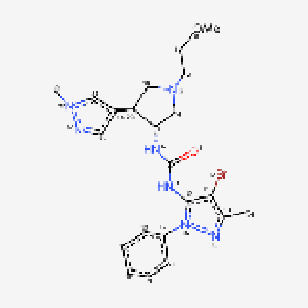 COCCN1C[C@H](NC(=O)Nc2c(Br)c(C)nn2-c2ccccc2)[C@@H](c2cnn(C)c2)C1